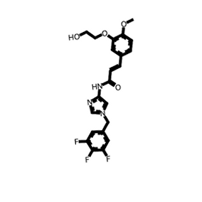 COc1ccc(/C=C/C(=O)Nc2cn(Cc3cc(F)c(F)c(F)c3)cn2)cc1OCCO